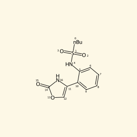 CCCCS(=O)(=O)Nc1ccccc1-c1coc(=O)[nH]1